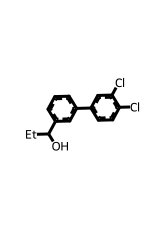 CCC(O)c1cccc(-c2ccc(Cl)c(Cl)c2)c1